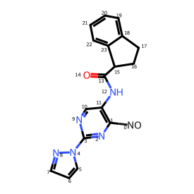 O=Nc1nc(-n2cccn2)ncc1NC(=O)C1CCc2ccccc21